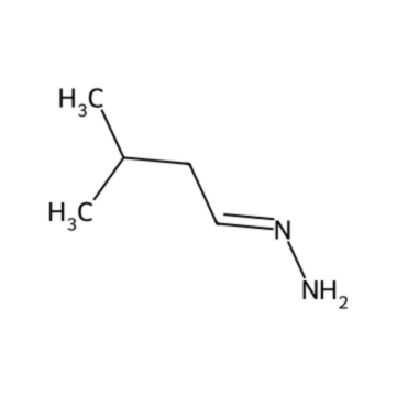 CC(C)CC=NN